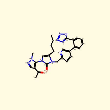 CCCCc1cn(-c2c(C(C)=O)cnn2C)c(=O)n1Cc1ccc(-c2ccccc2-c2nnn[nH]2)cn1